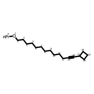 CCCOCCCCCCCCCCCC#CC1CCC1